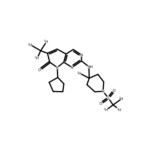 [2H]C1(Nc2ncc3cc(C([2H])([2H])[2H])c(=O)n(C4CCCC4)c3n2)CCN(S(=O)(=O)C([2H])([2H])[2H])CC1